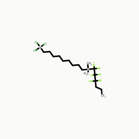 C[Si](C)(CCCCCCCCC[Si](Cl)(Cl)Cl)C(F)(F)C(F)(F)C(F)(F)CCC(F)(F)F